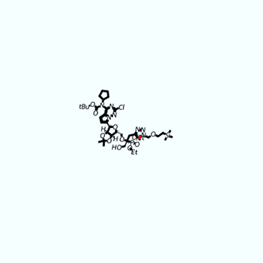 CCOP(=O)(OCC)[C@@](CO)(Cc1nnn(COCC[Si](C)(C)C)n1)OC[C@H]1O[C@H](c2ccc3c(N(C(=O)OC(C)(C)C)C4CCCC4)nc(Cl)nn23)[C@@H]2OC(C)(C)O[C@@H]21